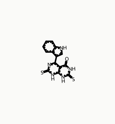 O=c1[nH]c(=S)[nH]c2[nH]c(=S)nc(-c3c[nH]c4ccccc34)c12